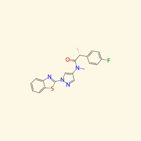 C[C@@H](C(=O)N(C)c1cnn(-c2nc3ccccc3s2)c1)c1ccc(F)cc1